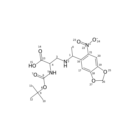 CC(NCC(NC(=O)OC(C)(C)C)C(=O)O)c1cc2c(cc1[N+](=O)[O-])OCO2